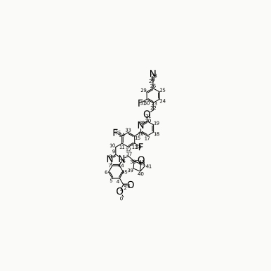 COC(=O)c1ccc2nc(Cc3cc(F)c(-c4cccc(OCc5ccc(C#N)cc5F)n4)cc3F)n(CC34CC(CO3)C4)c2c1